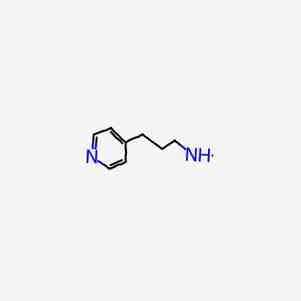 [NH]CCCc1ccncc1